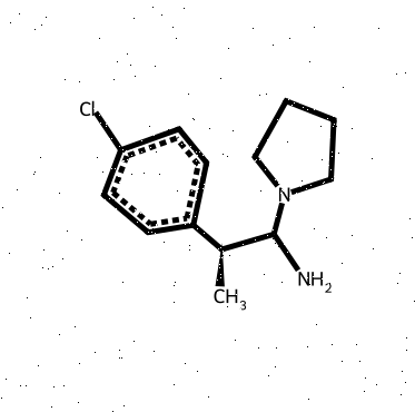 C[C@@H](c1ccc(Cl)cc1)C(N)N1CCCC1